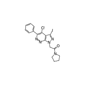 O=C(Cn1nc(I)c2c(Cl)c(-c3ccccc3)nnc21)N1CCCC1